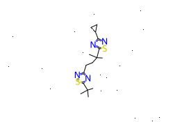 CC(C)(C)c1nc(CCC(C)(C)c2nc(C3CC3)ns2)ns1